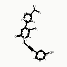 O=c1cc(-c2nnc(C(F)F)o2)c(Br)cn1CC#Cc1cccc(Cl)c1